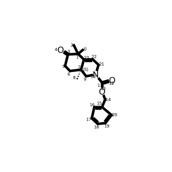 CC1(C)C(=O)CC[C@]2(C)CN(C(=O)OCc3ccccc3)CC=C12